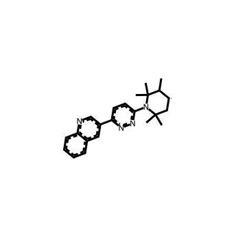 CC1[CH]CC(C)(C)N(c2ccc(-c3cnc4ccccc4c3)nn2)C1(C)C